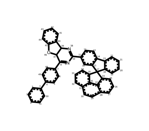 c1ccc(-c2ccc(C3=NC(c4ccc5c(c4)C4(c6ccccc6-5)c5cccc6ccc7cccc4c7c56)=NC4c5ccccc5OC34)cc2)cc1